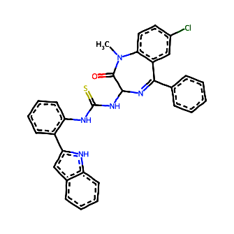 CN1C(=O)C(NC(=S)Nc2ccccc2-c2cc3ccccc3[nH]2)N=C(c2ccccc2)c2cc(Cl)ccc21